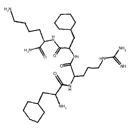 N=C(N)NCCCC(NC(=O)C(N)CC1CCCCC1)C(=O)NC(CC1CCCCC1)C(=O)NC(CCCCN)C(N)=O